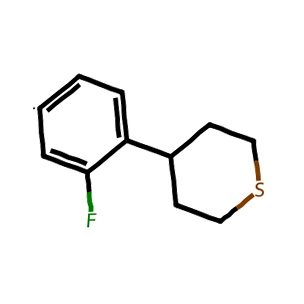 Fc1c[c]ccc1C1CCSCC1